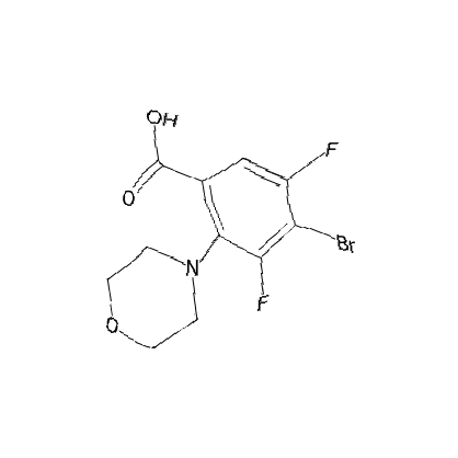 O=C(O)c1cc(F)c(Br)c(F)c1N1CCOCC1